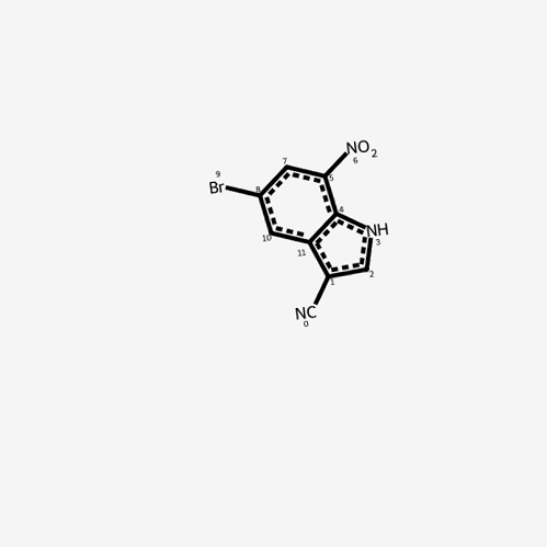 N#Cc1c[nH]c2c([N+](=O)[O-])cc(Br)cc12